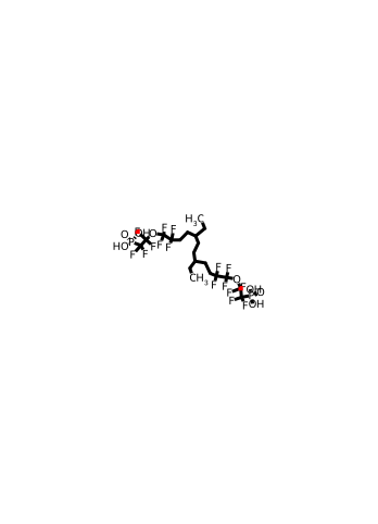 CCC(CCC(CC)CCC(F)(F)C(F)(F)OC(F)(F)C(F)(F)P(=O)(O)O)CCC(F)(F)C(F)(F)OC(F)(F)C(F)(F)P(=O)(O)O